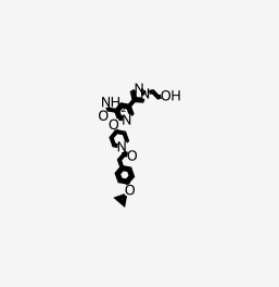 NC(=O)c1cc(-c2cnn(CCO)c2)cnc1OC1CCN(C(=O)Cc2ccc(OC3CC3)cc2)CC1